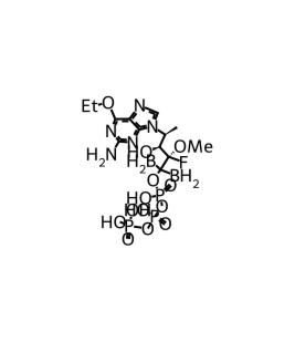 BC(B)(OP(=O)(O)OP(=O)(O)OP(=O)(O)O)[C@@](F)(OC)[C@@H](O)[C@H](C)n1cnc2c(OCC)nc(N)nc21